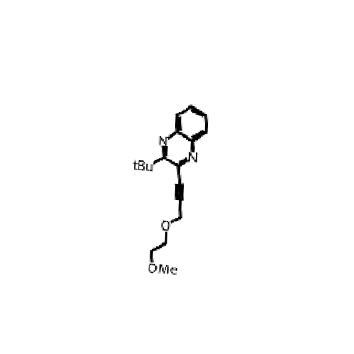 COCCOCC#Cc1nc2ccccc2nc1C(C)(C)C